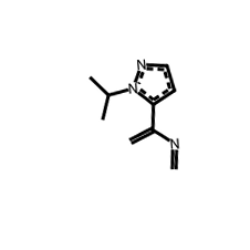 C=NC(=C)c1ccnn1C(C)C